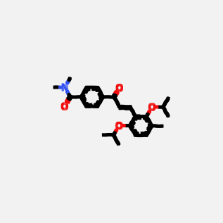 Cc1ccc(OC(C)C)c(/C=C/C(=O)c2ccc(C(=O)N(C)C)cc2)c1OC(C)C